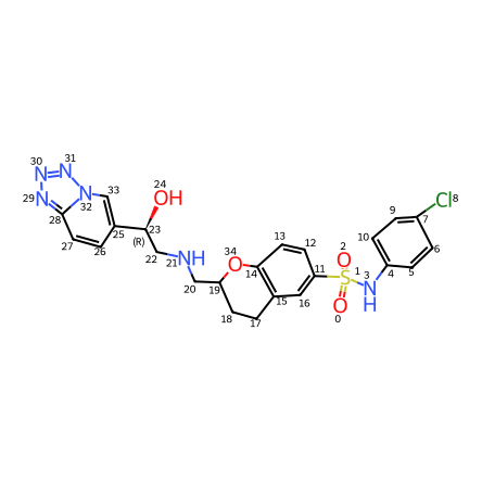 O=S(=O)(Nc1ccc(Cl)cc1)c1ccc2c(c1)CCC(CNC[C@H](O)c1ccc3nnnn3c1)O2